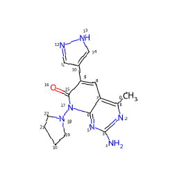 Cc1nc(N)nc2c1cc(-c1cn[nH]c1)c(=O)n2N1CCCC1